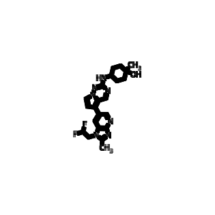 Cc1nc2ncc(-c3ccn4nc(NC5CCC(C)(O)CC5)ncc34)cc2n1CC(F)F